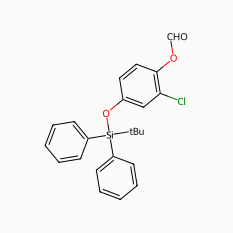 CC(C)(C)[Si](Oc1ccc(OC=O)c(Cl)c1)(c1ccccc1)c1ccccc1